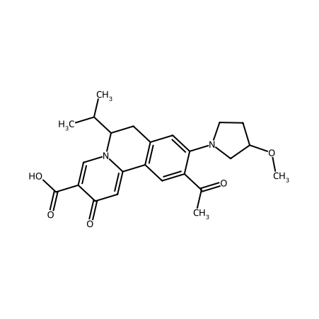 COC1CCN(c2cc3c(cc2C(C)=O)-c2cc(=O)c(C(=O)O)cn2C(C(C)C)C3)C1